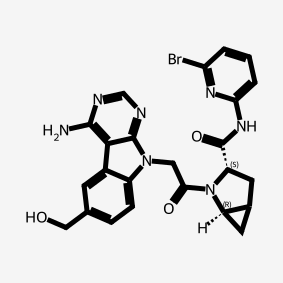 Nc1ncnc2c1c1cc(CO)ccc1n2CC(=O)N1[C@@H]2CC2C[C@H]1C(=O)Nc1cccc(Br)n1